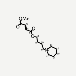 COC(=O)/C=C/C(=O)OCCCCN1CCCCC1